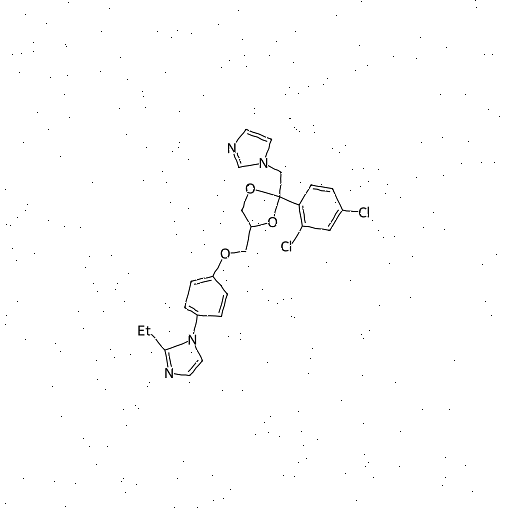 CCc1nccn1-c1ccc(OCC2COC(Cn3ccnc3)(c3ccc(Cl)cc3Cl)O2)cc1